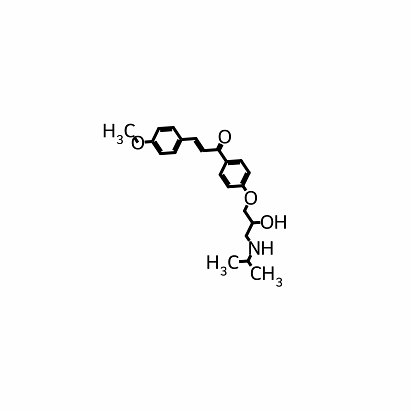 COc1ccc(C=CC(=O)c2ccc(OCC(O)CNC(C)C)cc2)cc1